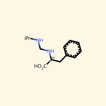 CC(C)NCN[C@@H](Cc1ccccc1)C(=O)O